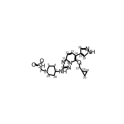 O=[SH](=O)CN1CCC(Nc2nc3ccc(-c4cn[nH]c4)c(OCC4CC4)n3n2)CC1